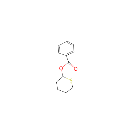 O=C(OC1CCCCS1)c1ccccc1